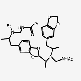 CCN(CNC(=O)C(C)C)C(C)Cc1ccc2c(c1)OC(C(C)N(CNC(C)=O)C(C)Cc1ccc3c(c1)OCO3)O2